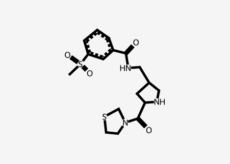 CS(=O)(=O)c1cccc(C(=O)NCC2CNC(C(=O)N3CCSC3)C2)c1